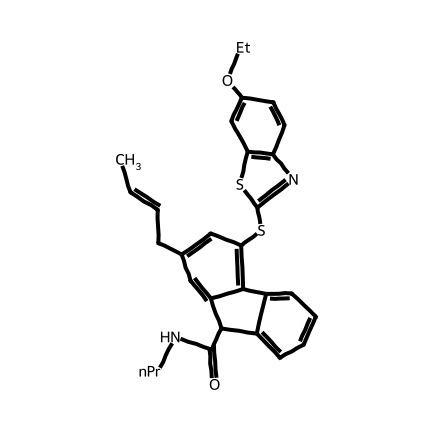 CC=CCc1cc(Sc2nc3ccc(OCC)cc3s2)c2c(c1)C(C(=O)NCCC)c1ccccc1-2